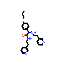 CCCOc1ccc(C(NCCc2cccnc2)C(=O)NCCc2cccnc2)cc1